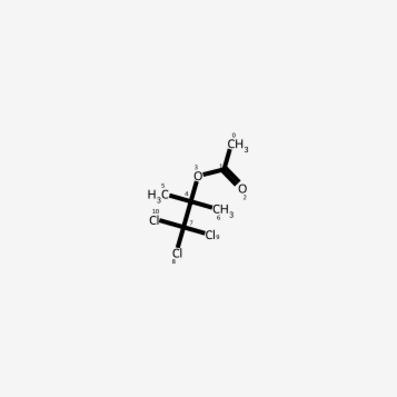 CC(=O)OC(C)(C)C(Cl)(Cl)Cl